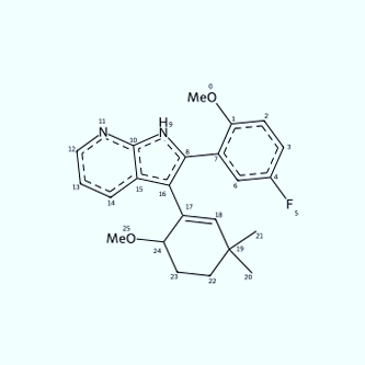 COc1ccc(F)cc1-c1[nH]c2ncccc2c1C1=CC(C)(C)CCC1OC